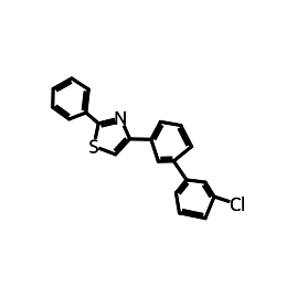 Clc1cccc(-c2cccc(-c3csc(-c4ccccc4)n3)c2)c1